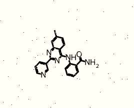 Cc1ccc2c(Nc3ccccc3C(N)=O)nc(-c3cccnc3)nc2c1